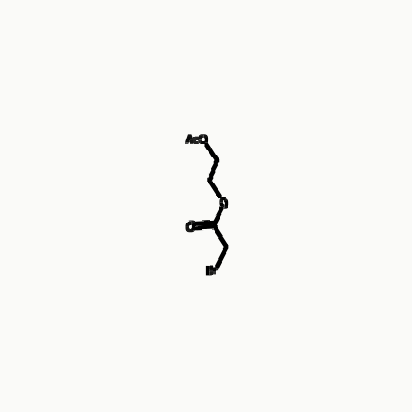 CC(=O)OCCOC(=O)CBr